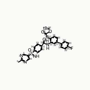 Cc1ncc(S(=N)(=O)c2ccc(C(=O)Nc3cc(-c4ccc(F)cc4)ccc3NC(=O)OC(C)(C)C)cc2)cn1